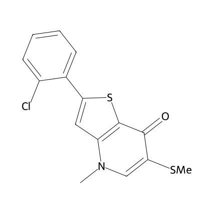 CSc1cn(C)c2cc(-c3ccccc3Cl)sc2c1=O